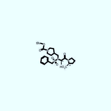 C[C@H](C(=O)N1CCC[C@H]1C(=O)O)N(CC1CCN(C(=O)OC(C)(C)C)CC1)S(=O)(=O)Cc1ccccc1